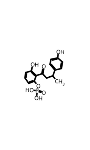 CC(CC(=O)c1c(O)cccc1OP(=O)(O)O)c1ccc(O)cc1